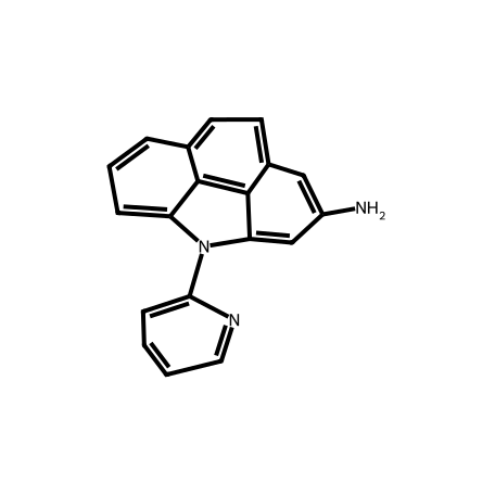 Nc1cc2ccc3cccc4c3c2c(c1)n4-c1ccccn1